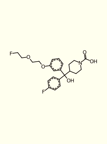 O=C(O)N1CCC(C(O)(c2ccc(F)cc2)c2cccc(OCCOCCF)c2)CC1